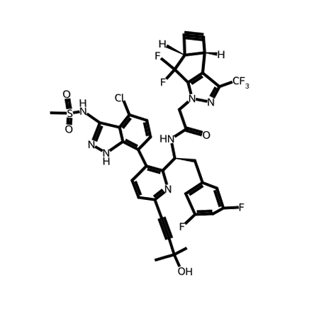 CC(C)(O)C#Cc1ccc(-c2ccc(Cl)c3c(NS(C)(=O)=O)n[nH]c23)c([C@H](Cc2cc(F)cc(F)c2)NC(=O)Cn2nc(C(F)(F)F)c3c2C(F)(F)[C@@H]2C#C[C@H]32)n1